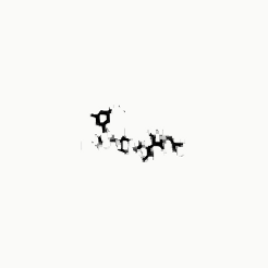 Cc1cc(C#N)cc([C@H](CC=N)NC(=O)N2CCN(c3ncc(F)c(-c4c(C)nn(CC5COC5)c4C)n3)CC2)c1